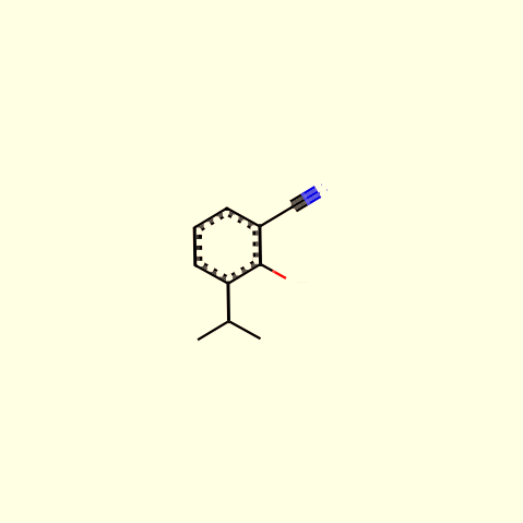 CC(C)c1cccc(C#N)c1O